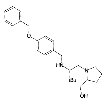 CCC(C)C(CN1CCCC1CO)NCc1ccc(OCc2ccccc2)cc1